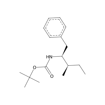 CC[C@@H](C)[C@H](Cc1ccccc1)NC(=O)OC(C)(C)C